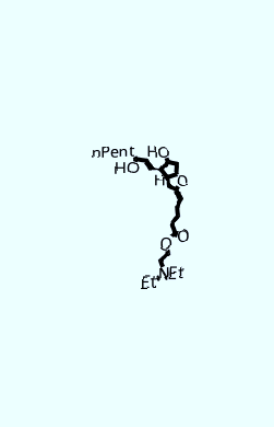 CCCCCC(O)C=C[C@H]1C(O)CC2OC(=CCCCC(=O)OCCN(CC)CC)C[C@@H]21